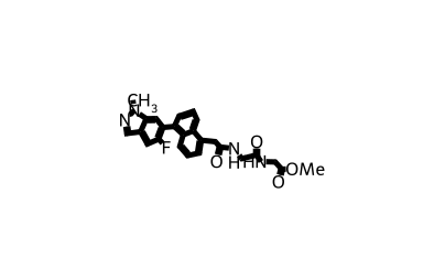 COC(=O)CNC(=O)CNC(=O)Cc1cccc2c(-c3cc4c(cnn4C)cc3F)cccc12